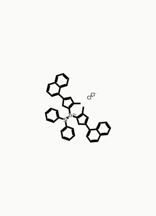 CC1=[C]([Zr+2]([C]2=C(C)C=C(c3cccc4ccccc34)C2)=[Si](c2ccccc2)c2ccccc2)CC(c2cccc3ccccc23)=C1.[Cl-].[Cl-]